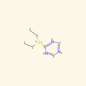 CC[SH](CC)c1ncncn1